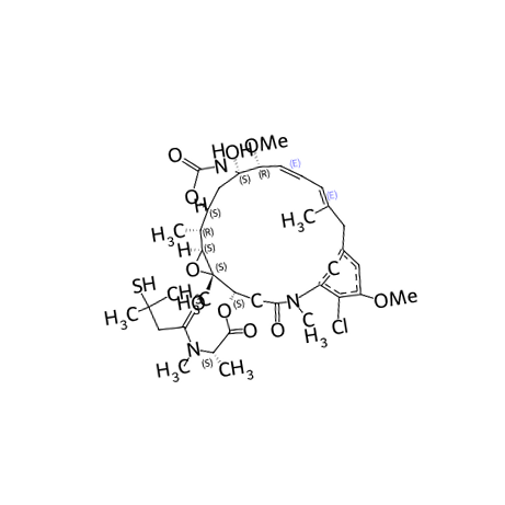 COc1cc2cc(c1Cl)N(C)C(=O)C[C@H](OC(=O)[C@H](C)N(C)C(=O)CC(C)(C)S)[C@]1(C)O[C@H]1[C@H](C)[C@@H]1C[C@@](O)(NC(=O)O1)[C@H](OC)/C=C/C=C(\C)C2